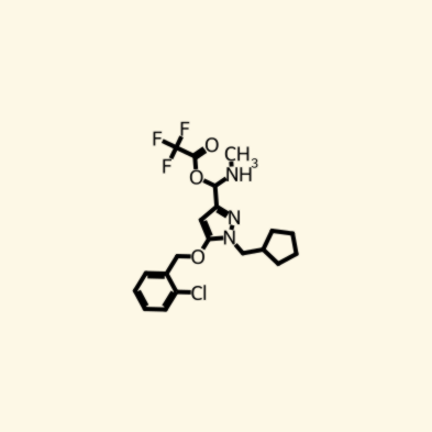 CNC(OC(=O)C(F)(F)F)c1cc(OCc2ccccc2Cl)n(CC2CCCC2)n1